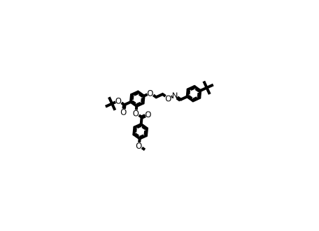 COc1ccc(C(=O)Oc2cc(OCCON=Cc3ccc(C(C)(C)C)cc3)ccc2C(=O)OC(C)(C)C)cc1